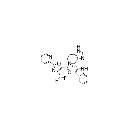 O=C(c1oc(-c2ccccn2)nc1C(F)F)N1CCc2[nH]cnc2[C@@H]1c1cc2ccccc2[nH]1